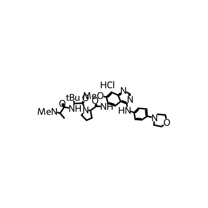 CNC(C)C(=O)NC(C(=O)N1CCCC1C(=O)Nc1cc2c(Nc3ccc(N4CCOCC4)cc3)ncnc2cc1OC)C(C)(C)C.Cl